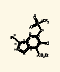 CCOC(=O)c1c(Cl)c(OS(=O)(=O)C(F)(F)F)nc2c1cnn2C(C)C